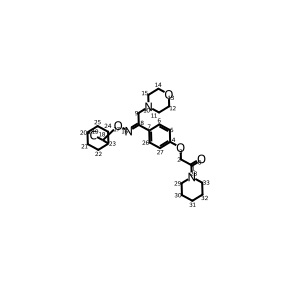 O=C(COc1ccc(C(CN2CCOCC2)=NOC2CC3CCC2CC3)cc1)N1CCCCC1